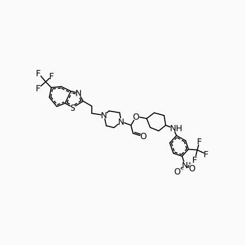 O=CC(OC1CCC(Nc2ccc([N+](=O)[O-])c(C(F)(F)F)c2)CC1)N1CCN(CCc2nc3cc(C(F)(F)F)ccc3s2)CC1